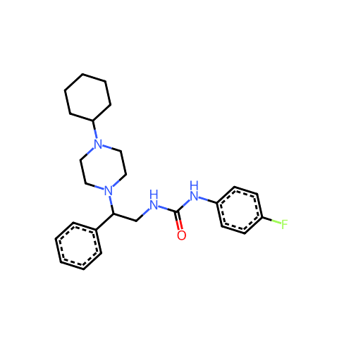 O=C(NCC(c1ccccc1)N1CCN(C2CCCCC2)CC1)Nc1ccc(F)cc1